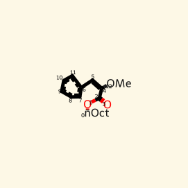 CCCCCCCCOC(=O)C(=Cc1ccccc1)OC